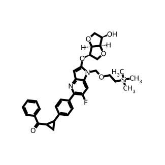 C[Si](C)(C)CCOCn1c(O[C@@H]2CO[C@H]3[C@@H]2OC[C@H]3O)cc2nc(-c3ccc(C4CC4C(=O)c4ccccc4)cc3)c(F)cc21